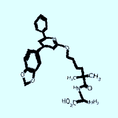 CC(C)(CCCCOc1cc(-c2ccc3c(c2)OCO3)cc(-c2ccccc2)n1)C(=O)NC([AsH2])C(=O)O